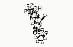 CC#C[C@H]1CN(S(=O)(=O)C2=CC=CCC2=S)CCN1c1ncc([C@](C)(O)C(F)(F)F)cn1